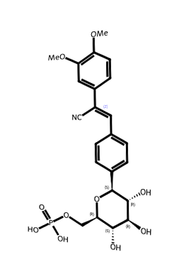 COc1ccc(/C(C#N)=C/c2ccc([C@@H]3O[C@H](COP(=O)(O)O)[C@@H](O)[C@H](O)[C@H]3O)cc2)cc1OC